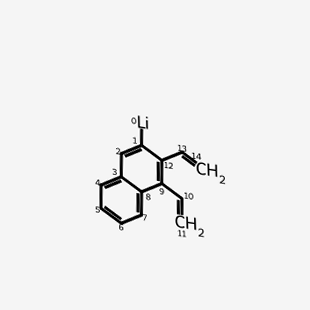 [Li][c]1cc2ccccc2c(C=C)c1C=C